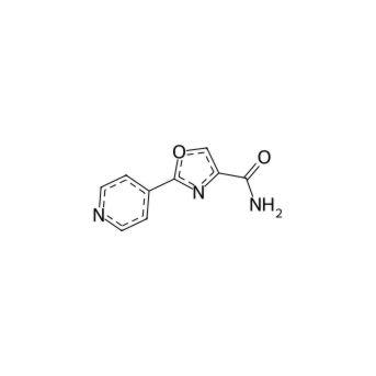 NC(=O)c1coc(-c2ccncc2)n1